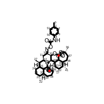 Cc1ccc(NC(=O)O/N=C(/C[C@H]2O[C@@H]3O[C@]4(C)CC[C@H]5[C@H](C)CC[C@@H]([C@H]2C)[C@@]35OO4)[C@H]2O[C@@H]3O[C@]4(C)CC[C@H]5[C@H](C)CC[C@@H]([C@H]2C)[C@@]35OO4)cc1